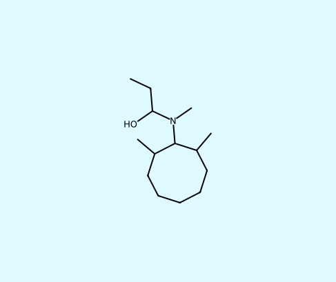 CCC(O)N(C)C1C(C)CCCCCC1C